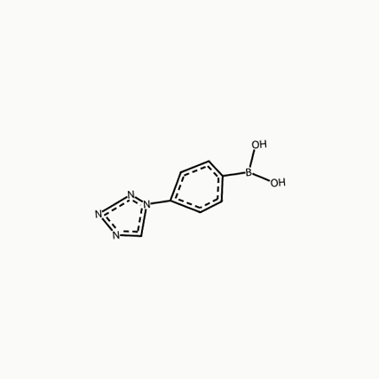 OB(O)c1ccc(-n2cnnn2)cc1